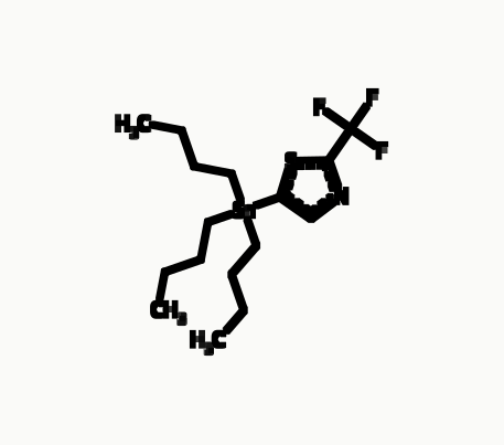 CCC[CH2][Sn]([CH2]CCC)([CH2]CCC)[c]1cnc(C(F)(F)F)s1